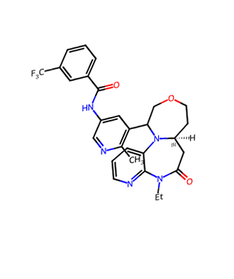 CCN1C(=O)C[C@@H]2CCOCC(c3cc(NC(=O)c4cccc(C(F)(F)F)c4)cnc3C)N2c2cccnc21